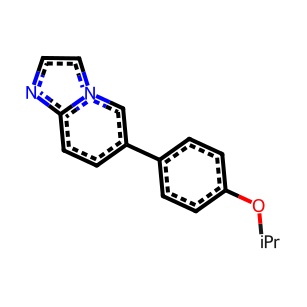 CC(C)Oc1ccc(-c2ccc3nccn3c2)cc1